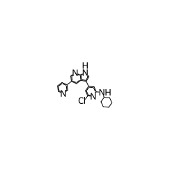 Clc1cc(-c2c[nH]c3ncc(-c4cccnc4)cc23)cc(NC2CCCCC2)n1